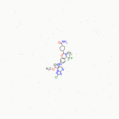 CO[C@@H](C)c1c(Nc2ccc([C@@H](N(C)C(=O)C3CCC(C(N)=O)CC3)C(F)(F)F)cc2)cnc2nc(Cl)nn12